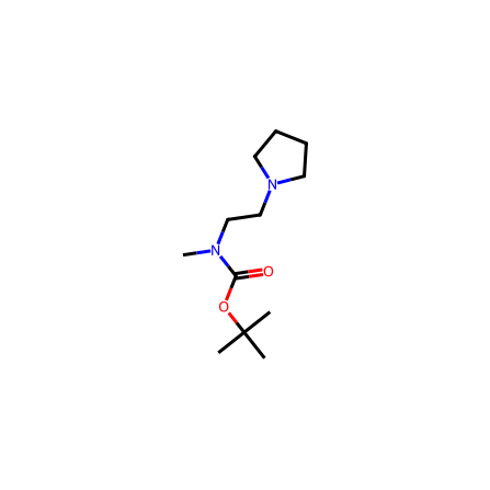 CN(CCN1CCCC1)C(=O)OC(C)(C)C